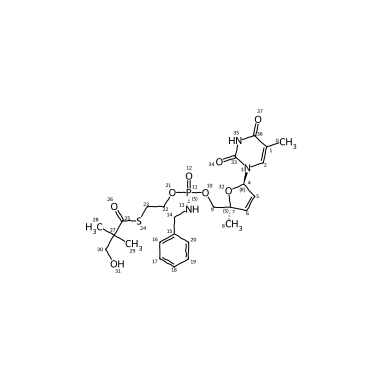 Cc1cn([C@H]2C=C[C@@](C)(CO[P@@](=O)(NCc3ccccc3)OCCSC(=O)C(C)(C)CO)O2)c(=O)[nH]c1=O